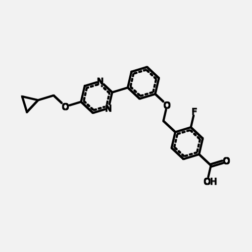 O=C(O)c1ccc(COc2cccc(-c3ncc(OCC4CC4)cn3)c2)c(F)c1